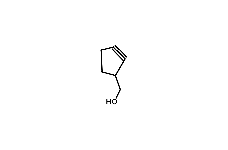 OCC1C#CCC1